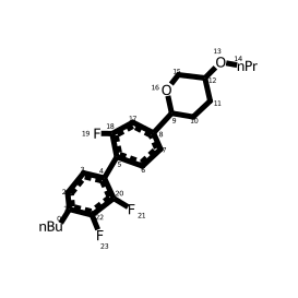 CCCCc1ccc(-c2ccc(C3CCC(OCCC)CO3)cc2F)c(F)c1F